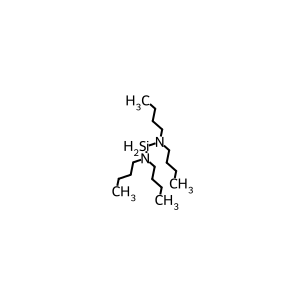 CCCCN(CCCC)[SiH2]N(CCCC)CCCC